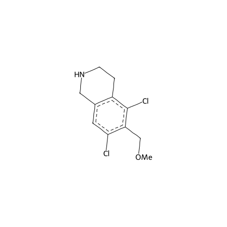 COCc1c(Cl)cc2c(c1Cl)CCNC2